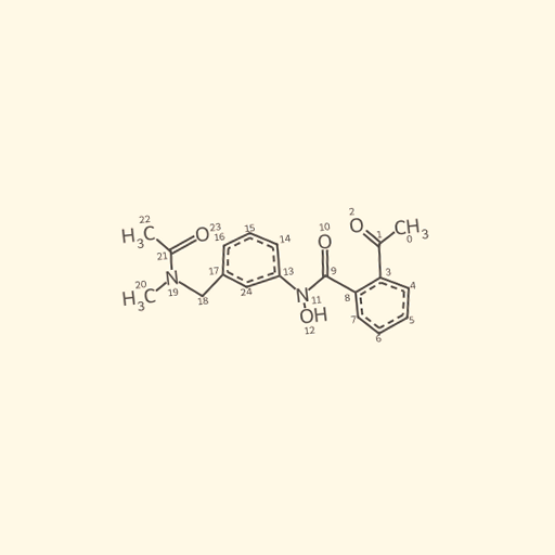 CC(=O)c1ccccc1C(=O)N(O)c1cccc(CN(C)C(C)=O)c1